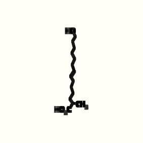 CC(CCCCC=CCCCCCCO)C(=O)O